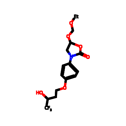 CCOCOC1CN(c2ccc(OCCC(O)C(F)(F)F)cc2)C(=O)O1